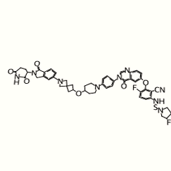 N#Cc1c(NSN2CCC(F)C2)ccc(F)c1Oc1ccc2ncn(-c3ccc(N4CCC(OC5CC6(C5)CN(c5ccc7c(c5)CN(C5CCC(=O)NC5=O)C7=O)C6)CC4)cc3)c(=O)c2c1